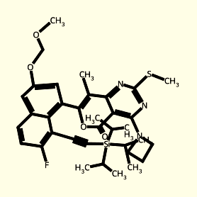 COCOc1cc(-c2oc(=O)c3c(N4CCC4)nc(SC)nc3c2C)c2c(C#C[Si](C(C)C)(C(C)C)C(C)C)c(F)ccc2c1